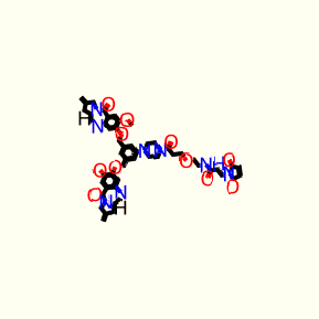 C=C1C[C@H]2C=Nc3cc(OCc4cc(COc5cc6c(cc5OC)C(=O)N5CC(=C)C[C@H]5C=N6)cc(N5CCN(C(=O)CCOCCNC(=O)CCN6C(=O)C=CC6=O)CC5)c4)c(OC)cc3C(=O)N2C1